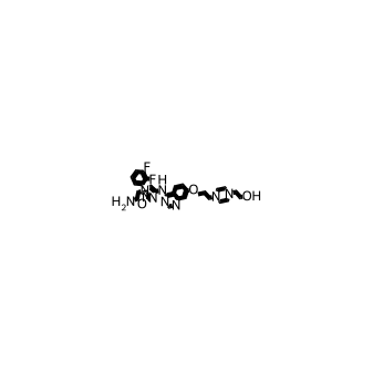 NC(=O)C[N+]1(c2cccc(F)c2F)C=C(Nc2ncnc3cc(OCCCN4CCN(CCO)CC4)ccc23)N=N1